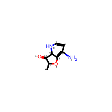 CC1OC2=C(N)C=CNC2C1=O